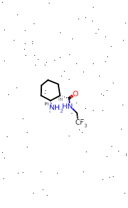 N[C@@H]1CCCC[C@@H]1C(=O)NCC(F)(F)F